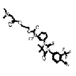 CN(C)CC(=O)OCCOC(=O)N(Cl)c1cccc(N2C(=S)N(c3ccc(C#N)c(C(F)(F)F)c3)C(=O)C2(C)C)c1